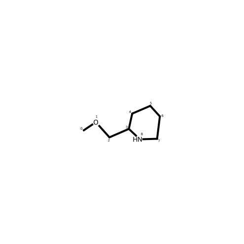 CO[CH]C1CCCCN1